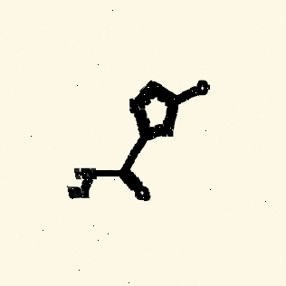 CCC(C)NC(=O)c1nc([O])cs1